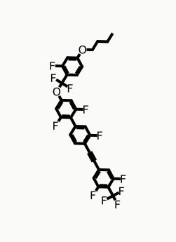 CCCCOc1ccc(C(F)(F)Oc2cc(F)c(-c3ccc(C#Cc4cc(F)c(C(F)(F)F)c(F)c4)c(F)c3)c(F)c2)c(F)c1